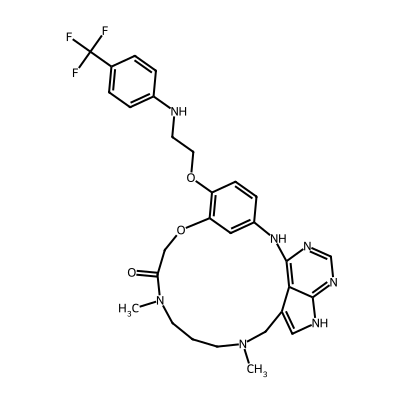 CN1CCCN(C)C(=O)COc2cc(ccc2OCCNc2ccc(C(F)(F)F)cc2)Nc2ncnc3[nH]cc(c23)C1